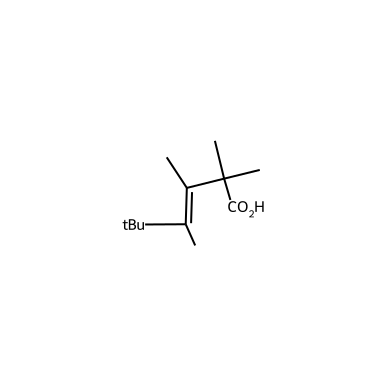 CC(=C(C)C(C)(C)C(=O)O)C(C)(C)C